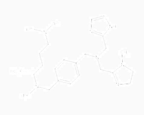 CCCN(CCC)CCC[C@@H](C(=O)O)N(C)Cc1ccc(CN(CC2=NCCN2C)Cc2ncc[nH]2)cc1